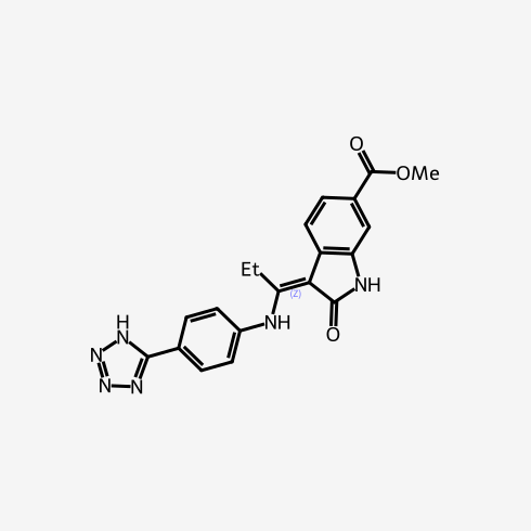 CC/C(Nc1ccc(-c2nnn[nH]2)cc1)=C1/C(=O)Nc2cc(C(=O)OC)ccc21